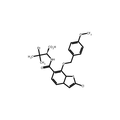 CCC(C)(C)[C@H](NC(=O)C1=C(OCc2ccc(OC(F)(F)F)cc2)C2SC(Cl)=CC2C=C1)C(=O)O